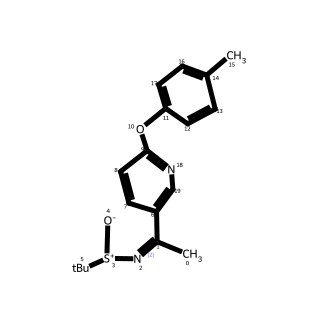 C/C(=N/[S+]([O-])C(C)(C)C)c1ccc(Oc2ccc(C)cc2)nc1